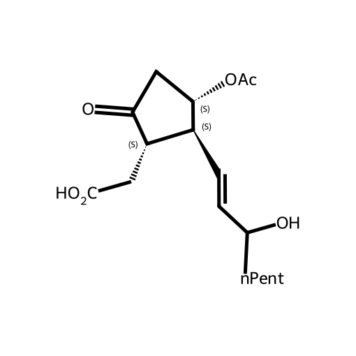 CCCCCC(O)C=C[C@@H]1[C@@H](OC(C)=O)CC(=O)[C@H]1CC(=O)O